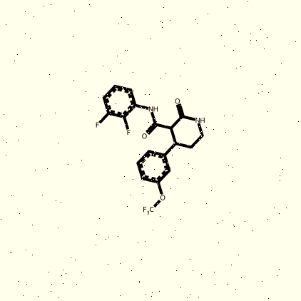 O=C1NCCC(c2cccc(OC(F)(F)F)c2)C1C(=O)Nc1cccc(F)c1F